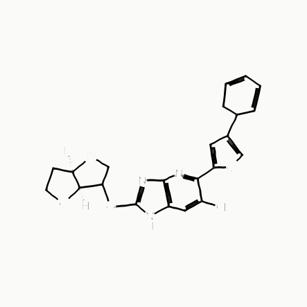 Clc1cc2[nH]c(OC3CO[C@@H]4CCO[C@H]34)nc2nc1-c1cc(C2C=CC=CC2)co1